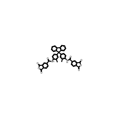 Cc1cc(C2(c3ccc(NC(=O)c4ccc5c(c4)C(=O)OC5=O)c(C)c3)c3ccccc3-c3ccccc32)ccc1NC(=O)c1ccc2c(c1)C(=O)OC2=O